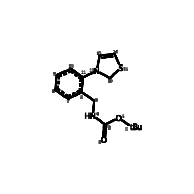 CC(C)(C)OC(=O)NCc1ccccc1N1C=CSC1